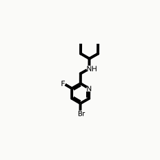 CCC(CC)NCc1ncc(Br)cc1F